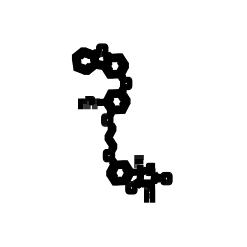 CCCc1cc(Oc2ccc3oc4ccccc4c3c2)ccc1OCCCOc1cccc(C2(F)SC(=O)NC2=O)c1